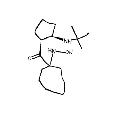 CC(C)(C)N[C@@H]1CCC[C@@H]1C(=O)C1(NO)CCCCCC1